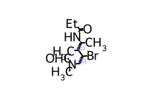 CCC(=O)N/C(C)=C(C)/C(Br)=C\N(C)C=O